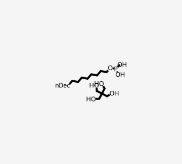 CCCCCCCCCCCCCCCCCCOP(O)O.OCC(CO)(CO)CO